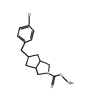 CC(C)(C)OC(=O)N1CC2CC(Cc3ccc(Cl)cc3)CC2C1